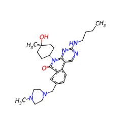 CCCCNc1ncc2c3ccc(CN4CCN(C)CC4)cc3c(=O)n([C@H]3CC[C@@](C)(O)CC3)c2n1